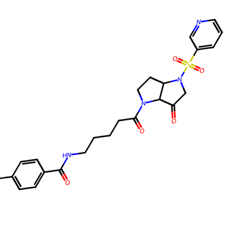 CC(C)c1ccc(C(=O)NCCCCC(=O)N2CCC3C2C(=O)CN3S(=O)(=O)c2cccnc2)cc1